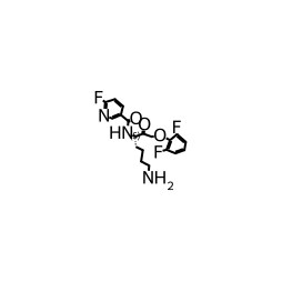 NCCCC[C@H](NC(=O)c1ccc(F)nc1)C(=O)COc1c(F)cccc1F